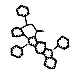 O=C1CC(c2ccccc2)c2ccccc2-c2c1c1cc3c(cc1n2-c1ccccc1)c1ccccc1n3-c1ccccc1